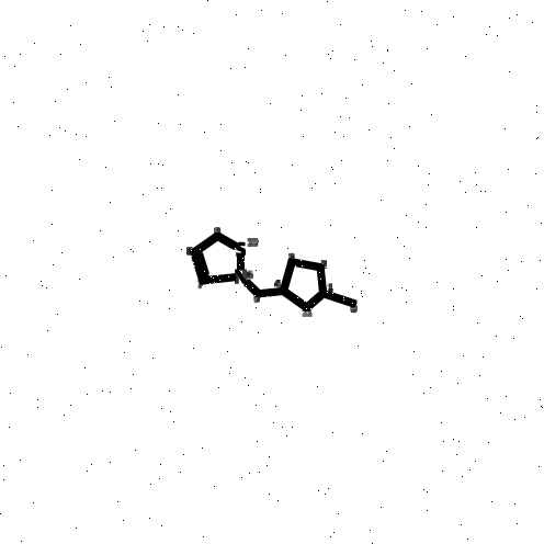 CC1CCC(CN2C=CCS2)C1